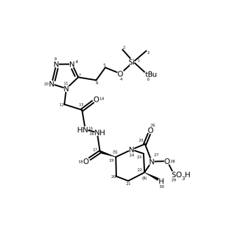 CC(C)(C)[Si](C)(C)OCCc1nnnn1CC(=O)NNC(=O)[C@@H]1CC[C@@H]2CN1C(=O)N2OS(=O)(=O)O